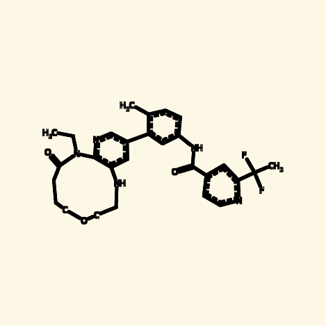 CCN1C(=O)CCCOCCNc2cc(-c3cc(NC(=O)c4ccnc(C(C)(F)F)c4)ccc3C)cnc21